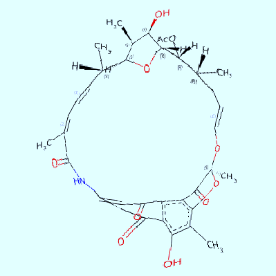 CC(=O)O[C@H]1[C@@H]2O[C@H]([C@@H](C)[C@H]2O)[C@@H](C)/C=C/C=C(/C)C(=O)NC2=CC(=O)c3c(c(O)c(C)c4c3C(=O)[C@@](C)(O/C=C/C[C@H]1C)O4)C2=O